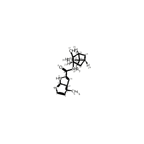 Cc1ccnc2[nH]c(C(=O)N[C@H]3C[C@H]4C[C@@H]([C@@H]3C)C4(C)C)cc12